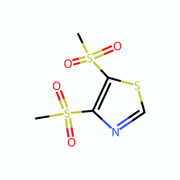 CS(=O)(=O)c1ncsc1S(C)(=O)=O